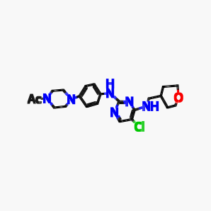 CC(=O)N1CCN(c2ccc(Nc3ncc(Cl)c(NCC4CCOCC4)n3)cc2)CC1